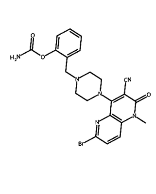 Cn1c(=O)c(C#N)c(N2CCN(Cc3ccccc3OC(N)=O)CC2)c2nc(Br)ccc21